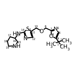 CC(C)(C)c1cnc(COCc2cnc(NC3CCCNC3)s2)o1